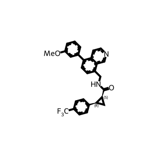 COc1cccc(-c2ccc(CNC(=O)[C@H]3C[C@H]3c3ccc(C(F)(F)F)cc3)c3cnccc23)c1